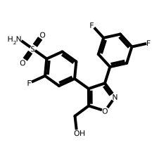 NS(=O)(=O)c1ccc(-c2c(-c3cc(F)cc(F)c3)noc2CO)cc1F